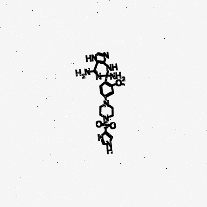 COc1cc(N2CCN(S(=O)(=O)c3c[nH]cn3)CC2)ccc1C1(N)N=C(N)c2[nH]cnc2N1